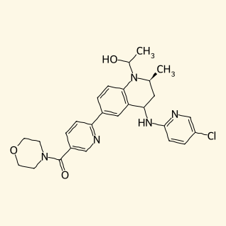 CC(O)N1c2ccc(-c3ccc(C(=O)N4CCOCC4)cn3)cc2C(Nc2ccc(Cl)cn2)C[C@@H]1C